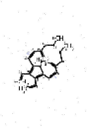 C=CC1=C(/C=C\C(=C)CCC)CC(/C=C\C(=C)CCC)=C1C=C